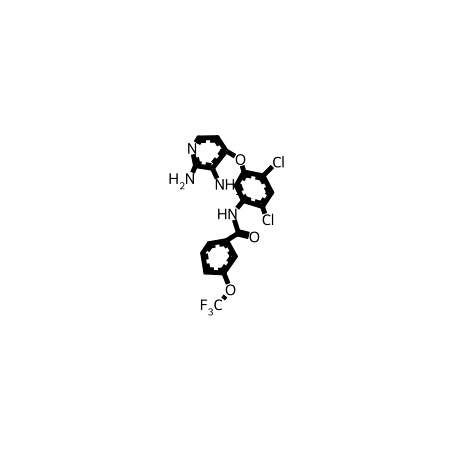 Nc1nccc(Oc2cc(NC(=O)c3cccc(OC(F)(F)F)c3)c(Cl)cc2Cl)c1N